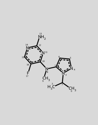 CC(C)n1nccc1N(C)c1nc(N)ncc1F